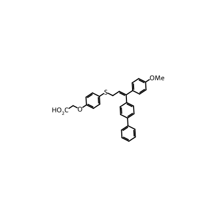 COc1ccc(/C(=C/CSc2ccc(OCC(=O)O)cc2)c2ccc(-c3ccccc3)cc2)cc1